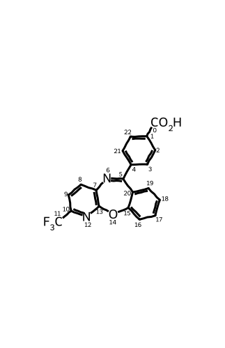 O=C(O)c1ccc(C2=Nc3ccc(C(F)(F)F)nc3Oc3ccccc32)cc1